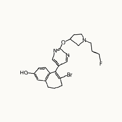 Oc1ccc2c(c1)CCCC(Br)=C2c1cnc(OC2CCN(CCCF)C2)nc1